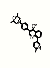 COc1c(-c2ccc(N3CC(C)OC(C)C3)cc2)cnc2c(-c3ccc(C)nc3)cccc12